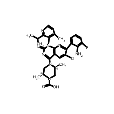 Cc1ccnc(C(C)C)c1-n1c(=O)nc(N2C[C@@H](C)N(C(=O)O)C[C@@H]2C)c2cc(Cl)c(-c3cccc(F)c3N)nc21